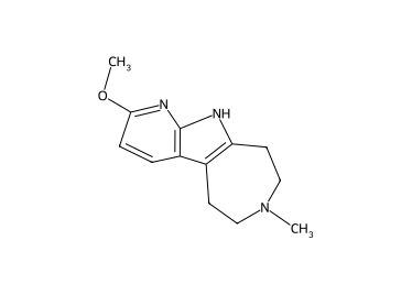 COc1ccc2c3c([nH]c2n1)CCN(C)CC3